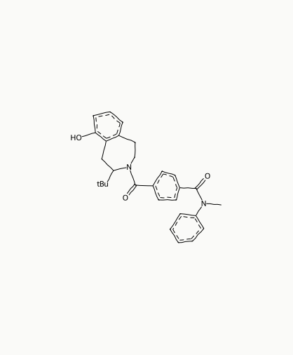 CN(C(=O)c1ccc(C(=O)N2CCc3cccc(O)c3CC2C(C)(C)C)cc1)c1ccccc1